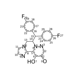 O=c1cnn2c(c1O)-c1nccn1CC2C(c1ccc(F)cc1)c1ccc(F)cc1